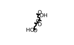 C=C(CCC(C)OC(=O)C(=C)CCC(=O)O)C(=O)O